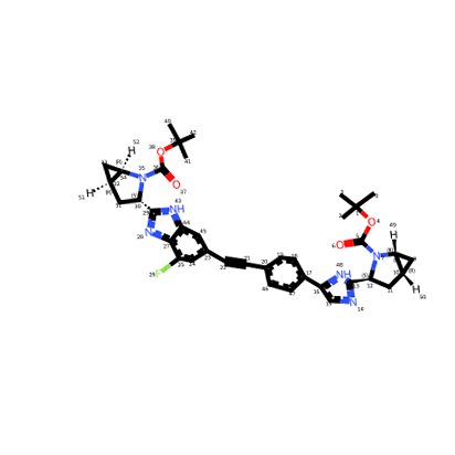 CC(C)(C)OC(=O)N1[C@@H]2C[C@@H]2C[C@H]1c1ncc(-c2ccc(C#Cc3cc(F)c4nc([C@@H]5C[C@H]6C[C@H]6N5C(=O)OC(C)(C)C)[nH]c4c3)cc2)[nH]1